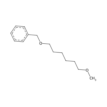 COCCCCCCOCc1ccccc1